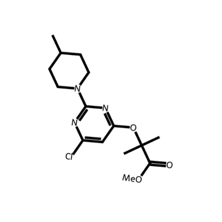 COC(=O)C(C)(C)Oc1cc(Cl)nc(N2CCC(C)CC2)n1